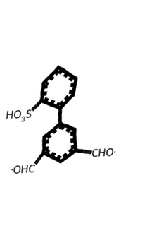 O=[C]c1cc([C]=O)cc(-c2ccccc2S(=O)(=O)O)c1